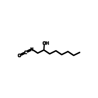 CCCCCCC(O)CN=C=O